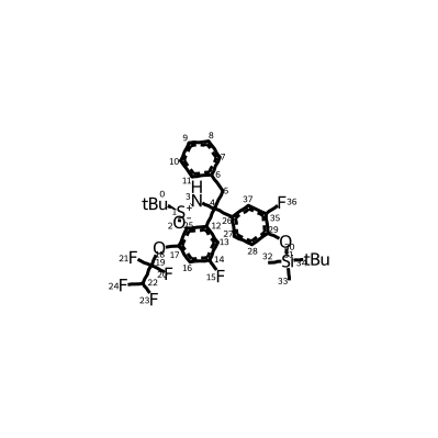 CC(C)(C)[S@+]([O-])NC(Cc1ccccc1)(c1cc(F)cc(OC(F)(F)C(F)F)c1)c1ccc(O[Si](C)(C)C(C)(C)C)c(F)c1